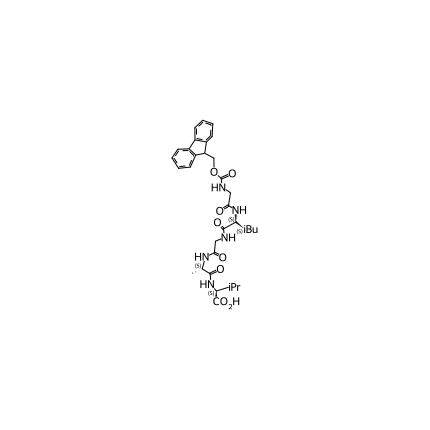 CC[C@H](C)[C@H](NC(=O)CNC(=O)OCC1c2ccccc2-c2ccccc21)C(=O)NCC(=O)N[C@@H](C)C(=O)N[C@H](C(=O)O)C(C)C